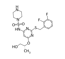 C[C@H](CO)Oc1cc(NS(=O)(=O)N2CCNCC2)nc(SCc2cccc(F)c2F)n1